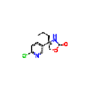 O=C1N[C@]2(CCCc3cc(Cl)ncc32)CO1